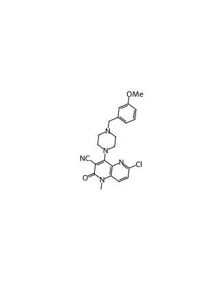 COc1cccc(CN2CCN(c3c(C#N)c(=O)n(C)c4ccc(Cl)nc34)CC2)c1